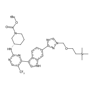 CC(C)(C)OC(=O)N1CCC[C@H](Nc2ncc(C(F)(F)F)c(-c3c[nH]c4cc(-c5ncn(COCC[Si](C)(C)C)n5)ccc34)n2)C1